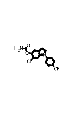 NC(=O)Oc1cc2ccn(-c3ccc(C(F)(F)F)cc3)c2cc1Cl